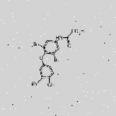 CC(C)c1cc(Oc2c(Br)cc(NC(=O)C(=O)O)cc2Br)ccc1O